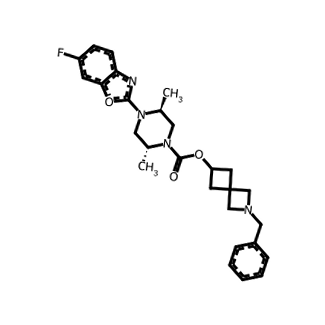 C[C@@H]1CN(c2nc3ccc(F)cc3o2)[C@@H](C)CN1C(=O)OC1CC2(C1)CN(Cc1ccccc1)C2